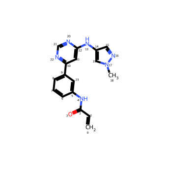 C=CC(=O)Nc1cccc(-c2cc(Nc3cnn(C)c3)ncn2)c1